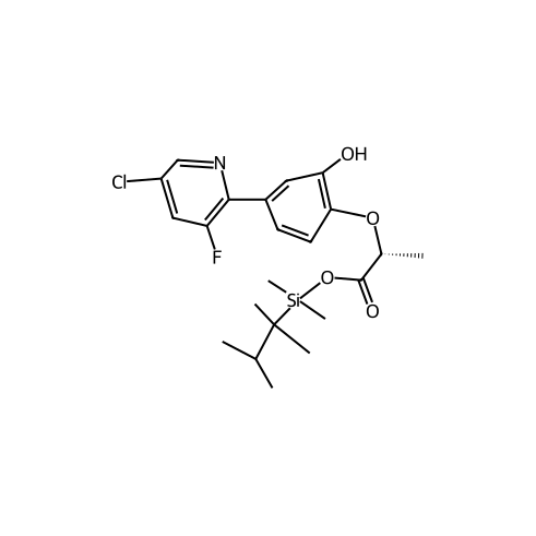 CC(C)C(C)(C)[Si](C)(C)OC(=O)[C@@H](C)Oc1ccc(-c2ncc(Cl)cc2F)cc1O